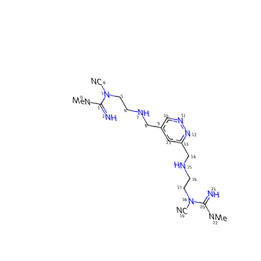 CNC(=N)N(C#N)CCNCc1cnnc(CNCCN(C#N)C(=N)NC)c1